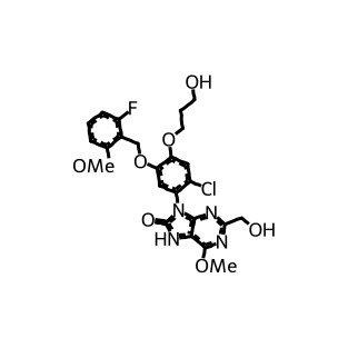 COc1cccc(F)c1COc1cc(-n2c(=O)[nH]c3c(OC)nc(CO)nc32)c(Cl)cc1OCCCO